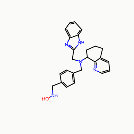 ONCc1ccc(CN(Cc2nc3ccccc3[nH]2)C2CCCc3cccnc32)cc1